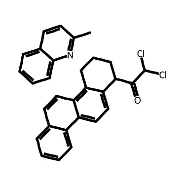 Cc1ccc2ccccc2n1.O=C(C(Cl)Cl)C1CCCc2c1ccc1c2ccc2ccccc21